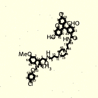 COC1=CC2C(CC(=O)NCCCN3CCN(CCCNC(=O)c4ccc(C=O)c(-c5c6ccc(=O)cc-6oc6cc(O)ccc56)c4)CC3)=C(C)N(COc3ccc(Cl)cc3)C2C=C1